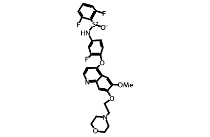 COc1cc2c(Oc3ccc(N[S+]([O-])c4c(F)cccc4F)cc3F)ccnc2cc1OCCN1CCOCC1